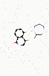 CC1CNCCCN1S(=O)(=O)c1cccc2c(OS(=O)(=O)O)ncc(Cl)c12